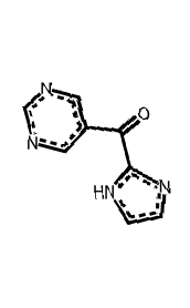 O=C(c1cncnc1)c1ncc[nH]1